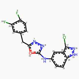 Fc1ccc(Cc2nnc(Nc3ccc4[nH]nc(Cl)c4c3)o2)cc1F